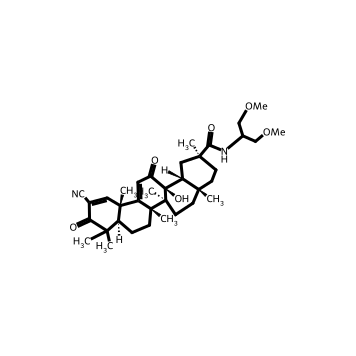 COCC(COC)NC(=O)[C@@]1(C)CC[C@]2(C)CC[C@@]3(C)[C@]4(C)CC[C@H]5C(C)(C)C(=O)C(C#N)=C[C@]5(C)C4=CC(=O)[C@]3(O)[C@@H]2C1